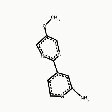 COc1cnc(-c2ccnc(N)c2)nc1